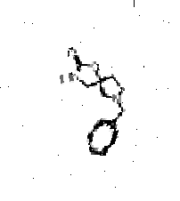 O=C1NCC2(CCN(Cc3ccccc3)C2)O1